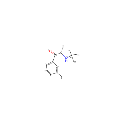 Cc1cccc(C(=O)[C@H](C)NC(C)(C)C)c1